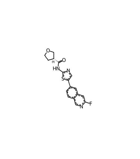 O=C(Nc1ncc(-c2ccc3cnc(F)cc3c2)s1)[C@@H]1CCOC1